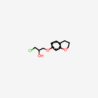 OC(CCl)COc1ccc2c(c1)OCCC2